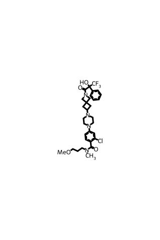 COCCCN(C)C(=O)c1ccc(N2CCN(C3CC4(C3)CN(C(=O)C(O)(c3ccccc3)C(F)(F)F)C4)CC2)cc1Cl